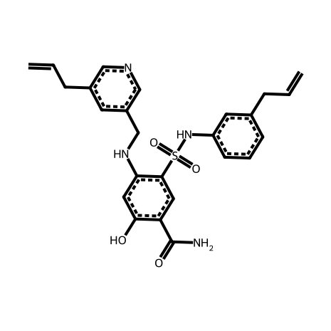 C=CCc1cncc(CNc2cc(O)c(C(N)=O)cc2S(=O)(=O)Nc2cccc(CC=C)c2)c1